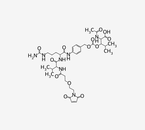 CC(=O)NC(C(=O)O)C(OC(=O)OCc1ccc(NC(=O)C(CCCNC(N)=O)NC(=O)C(NC(=O)CCOCCN2C(=O)C=CC2=O)C(C)C)cc1)C(C)C